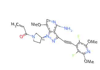 C=CC(=O)N1CC[C@H](n2nc(C#Cc3c(F)c(OC)nc(OC)c3F)c3c(N)ncc(OC)c32)C1